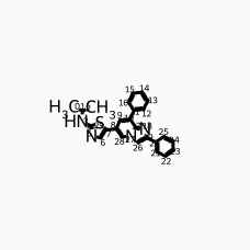 CC(C)Nc1ncc(-c2cc(-c3ccccc3)c3nc(-c4ccccc4)cn3c2)s1